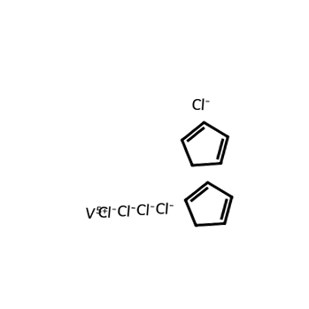 C1=CCC=C1.C1=CCC=C1.[Cl-].[Cl-].[Cl-].[Cl-].[Cl-].[V+5]